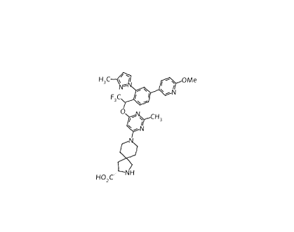 COc1ccc(-c2ccc(C(Oc3cc(N4CCC5(CC4)CN[C@H](C(=O)O)C5)nc(C)n3)C(F)(F)F)c(-n3ccc(C)n3)c2)cn1